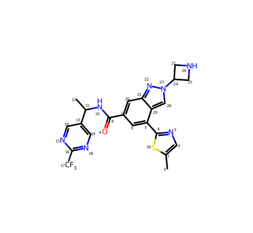 Cc1cnc(-c2cc(C(=O)NC(C)c3cnc(C(F)(F)F)nc3)cc3nn(C4CNC4)cc23)s1